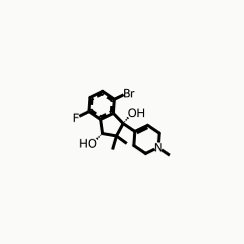 CN1CC=C([C@]2(O)c3c(Br)ccc(F)c3[C@@H](O)C2(C)C)CC1